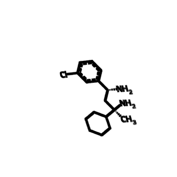 C[C@@](N)(C[C@@H](N)c1cccc(Cl)c1)C1CCCCC1